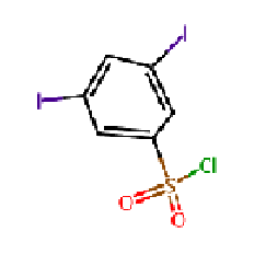 O=S(=O)(Cl)c1cc(I)cc(I)c1